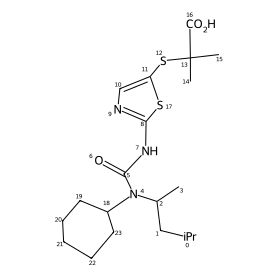 CC(C)CC(C)N(C(=O)Nc1ncc(SC(C)(C)C(=O)O)s1)C1CCCCC1